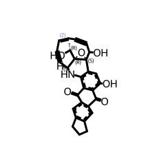 C[C@@H](O)[C@@]12O[C@]13c1cc(O)c4c(c1N[C@H]2C#C/C=C\C#CC3O)C(=O)c1cc2c(cc1C4=O)CCC2